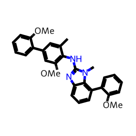 COc1ccccc1-c1cc(C)c(Nc2nc3cccc(-c4ccccc4OC)c3n2C)c(OC)c1